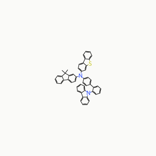 CC1(C)c2ccccc2-c2ccc(N(c3ccc(-c4ccccc4-n4c5ccccc5c5ccccc54)cc3)c3ccc4c(c3)sc3ccccc34)cc21